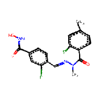 Cc1ccc(C(=O)N(C)N=Cc2ccc(C(=O)NO)cc2F)c(F)c1